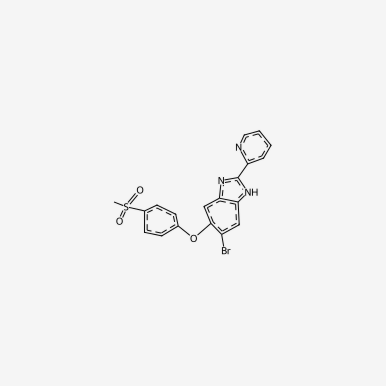 CS(=O)(=O)c1ccc(Oc2cc3nc(-c4ccccn4)[nH]c3cc2Br)cc1